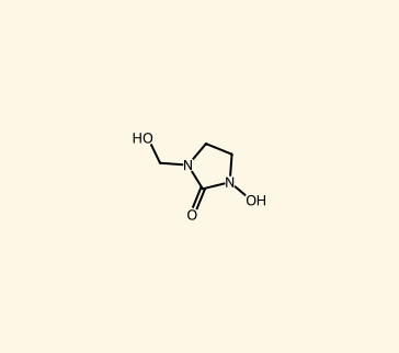 O=C1N(O)CCN1CO